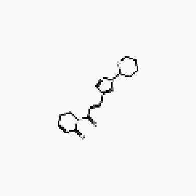 O=C1C=CCCN1C(=O)/C=C/c1cnn(C2CCCCO2)c1